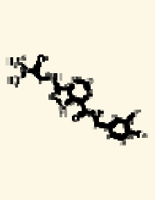 CN(C)C(=O)CNc1n[nH]c2c(C(=O)NCc3ccc(F)c(I)c3)ncnc12